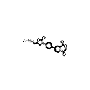 CC(=O)NCC1CN(c2ccc(C3=CCN4C(=O)COC(=O)C4C3)cc2)C(=O)O1